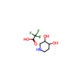 O=C(O)C(F)(F)F.OC1CCNCC1O